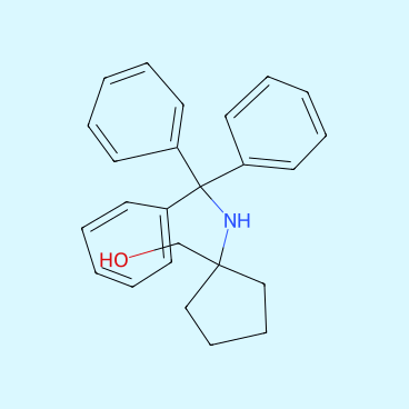 OCC1(NC(c2ccccc2)(c2ccccc2)c2ccccc2)CCCC1